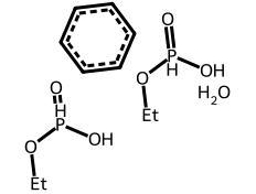 CCO[PH](=O)O.CCO[PH](=O)O.O.c1ccccc1